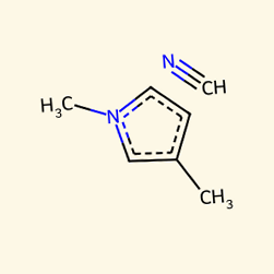 C#N.Cc1ccn(C)c1